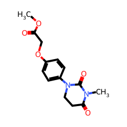 COC(=O)COc1ccc(N2CCC(=O)N(C)C2=O)cc1